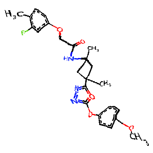 COc1ccc(Oc2nnc(C3(C)CC(C)(NC(=O)COc4ccc(C)c(F)c4)C3)o2)cc1